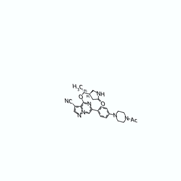 CC(=O)N1CCN(c2ccc(-c3cn4ncc(C#N)c4c(O[C@H](C)[C@H]4CNC(=O)C4)n3)cc2)CC1